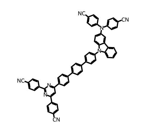 N#Cc1ccc(-c2cc(-c3ccc(-c4ccc(-c5ccc(-n6c7ccccc7c7cc(N(c8ccc(C#N)cc8)c8ccc(C#N)cc8)ccc76)cc5)cc4)cc3)nc(-c3ccc(C#N)cc3)n2)cc1